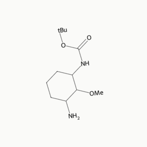 COC1C(N)CCCC1NC(=O)OC(C)(C)C